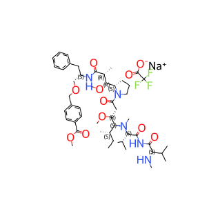 CC[C@H](C)[C@@H]([C@@H](CC(=O)N1CCC[C@H]1[C@H](OC)[C@@H](C)C(=O)N[C@H](COCc1ccc(C(=O)OC)cc1)Cc1ccccc1)OC)N(C)[C@H](C(=O)NC(=O)[C@@H](NC)C(C)C)C(C)C.O=C([O-])C(F)(F)F.[Na+]